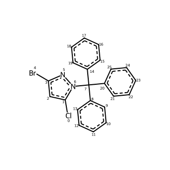 Clc1cc(Br)nn1C(c1ccccc1)(c1ccccc1)c1ccccc1